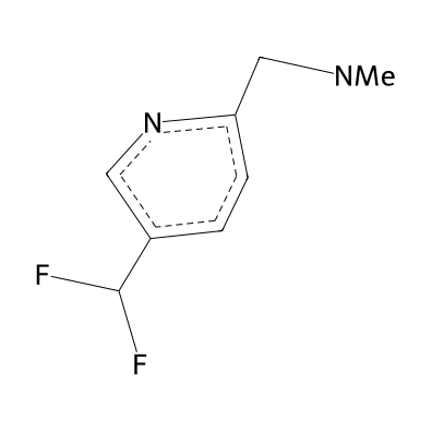 CNCc1ccc(C(F)F)cn1